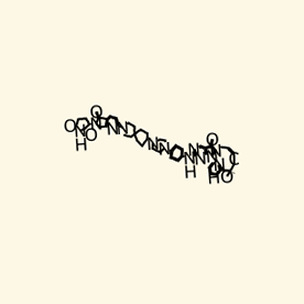 C[C@@]1(O)CC/C=C\Cn2c(=O)c3cnc(Nc4ccc(N5CCN(C6CCC7(CC6)CCN(c6ccc8c(n6)CN(C6CCC(=O)NC6=O)C8=O)CC7)CC5)cc4)nc3n2-c2cccc1n2